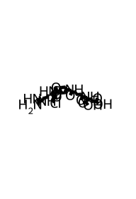 N=C(N)NCCC[C@H](NS(=O)(=O)c1ccc(NC(=O)CCCC(=O)NC(CCC(=O)O)C(=O)O)cc1)C(=O)CCl